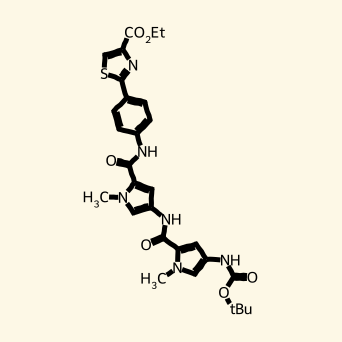 CCOC(=O)c1csc(-c2ccc(NC(=O)c3cc(NC(=O)c4cc(NC(=O)OC(C)(C)C)cn4C)cn3C)cc2)n1